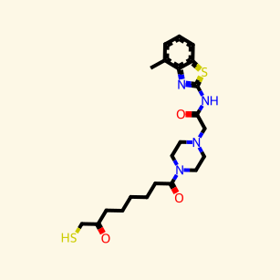 Cc1cccc2sc(NC(=O)CN3CCN(C(=O)CCCCCC(=O)CS)CC3)nc12